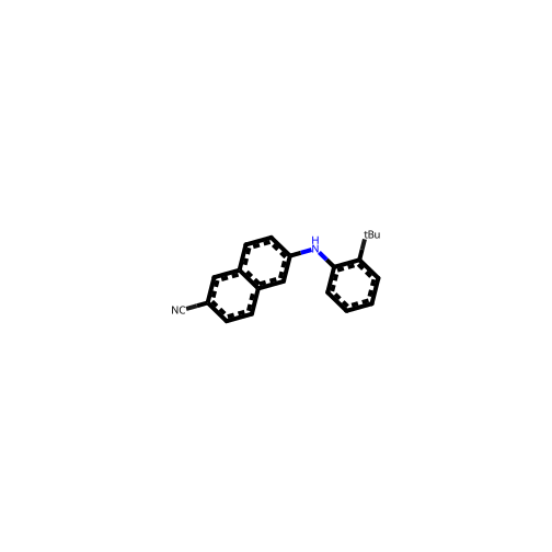 CC(C)(C)c1ccccc1Nc1ccc2cc(C#N)ccc2c1